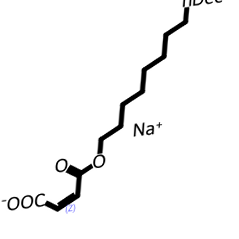 CCCCCCCCCCCCCCCCCCOC(=O)/C=C\C(=O)[O-].[Na+]